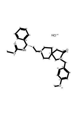 COC(=O)N[C@@H](CCN1CCC2(CC1)CC(=O)N(Cc1ccc(OC)cc1)C2)c1ccccc1.Cl